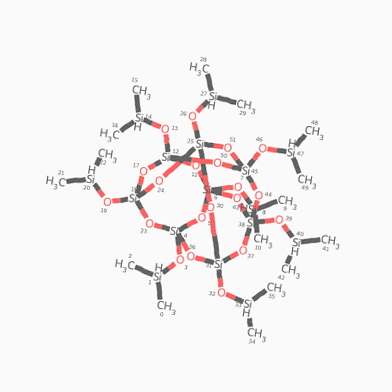 C[SiH](C)O[Si]12O[Si]3(O[SiH](C)C)O[Si]4(O[SiH](C)C)O[Si](O[SiH](C)C)(O1)O[Si]1(O[SiH](C)C)O[Si](O[SiH](C)C)(O2)O[Si](O[SiH](C)C)(O3)O[Si](O[SiH](C)C)(O4)O1